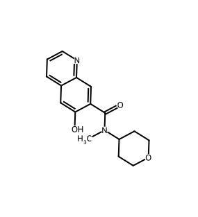 CN(C(=O)c1cc2ncccc2cc1O)C1CCOCC1